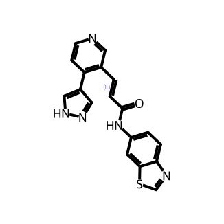 O=C(/C=C/c1cnccc1-c1cn[nH]c1)Nc1ccc2ncsc2c1